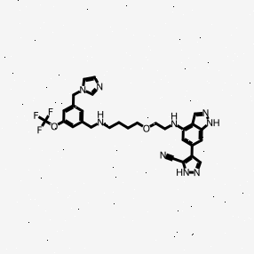 N#Cc1[nH]ncc1-c1cc(NCCOCCCCNCc2cc(Cn3ccnc3)cc(OC(F)(F)F)c2)c2cn[nH]c2c1